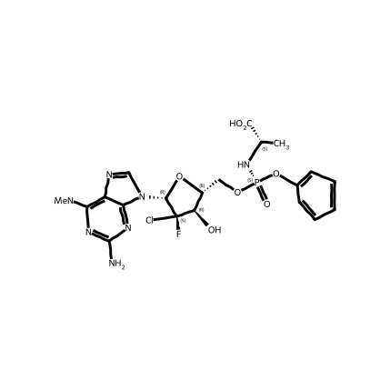 CNc1nc(N)nc2c1ncn2[C@@H]1O[C@H](CO[P@@](=O)(N[C@@H](C)C(=O)O)Oc2ccccc2)[C@@H](O)[C@]1(F)Cl